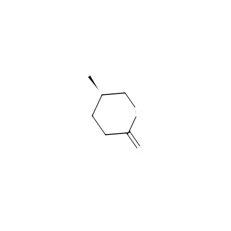 C[C@@H]1C[C@@H](C)[C@H](C)OC1=O